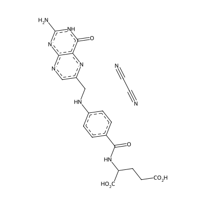 N#CC#N.Nc1nc2ncc(CNc3ccc(C(=O)NC(CCC(=O)O)C(=O)O)cc3)nc2c(=O)[nH]1